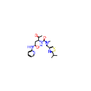 CC(=O)C(CC(=O)Nc1ccccn1)NC(=O)N(C)Cc1csc(C(C)C)n1